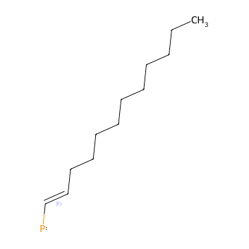 CCCCCCCCCC/C=C/[P]